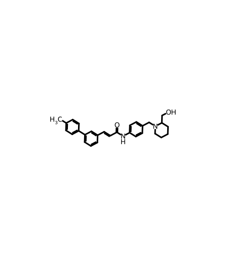 Cc1ccc(-c2cccc(/C=C/C(=O)Nc3ccc(CN4CCCCC4CO)cc3)c2)cc1